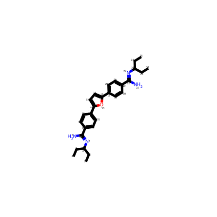 CCC(CC)N=C(N)c1ccc(-c2ccc(-c3ccc(C(N)=NC(CC)CC)cc3)o2)cc1